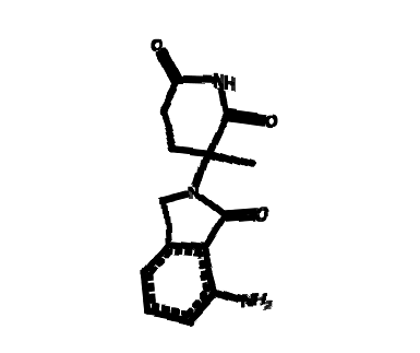 CC1(N2Cc3cccc(N)c3C2=O)CCC(=O)NC1=O